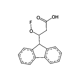 O=C(O)CC(OF)C1c2ccccc2-c2ccccc21